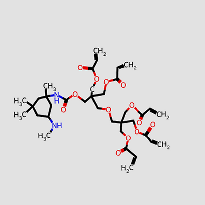 C=CC(=O)OCC(COCC(COC(=O)C=C)(COC(=O)C=C)COC(=O)NC1(C)CC(NC)CC(C)(C)C1)(COC(=O)C=C)COC(=O)C=C